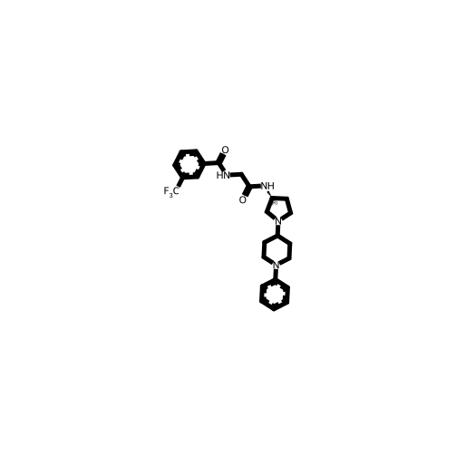 O=C(CNC(=O)c1cccc(C(F)(F)F)c1)N[C@@H]1CCN(C2CCN(c3ccccc3)CC2)C1